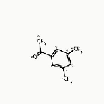 O=C(c1cc(C(F)(F)F)cc(C(F)(F)F)c1)C(F)(F)F